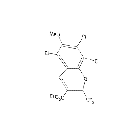 CCOC(=O)C1=Cc2c(Cl)c(OC)c(Cl)c(Cl)c2OC1C(F)(F)F